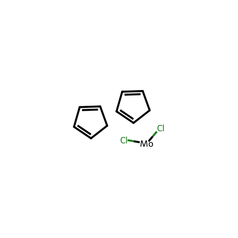 C1=CCC=C1.C1=CCC=C1.[Cl][Mo][Cl]